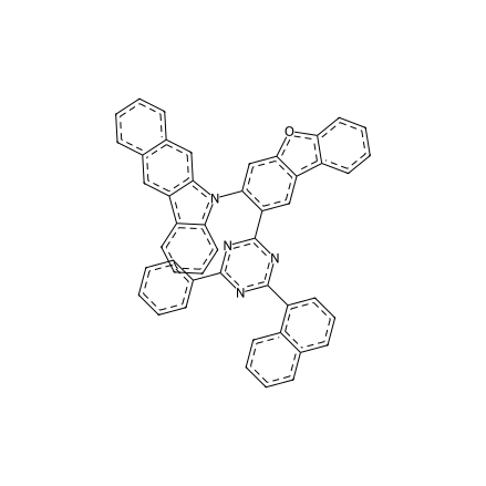 c1ccc(-c2nc(-c3cc4c(cc3-n3c5ccccc5c5cc6ccccc6cc53)oc3ccccc34)nc(-c3cccc4ccccc34)n2)cc1